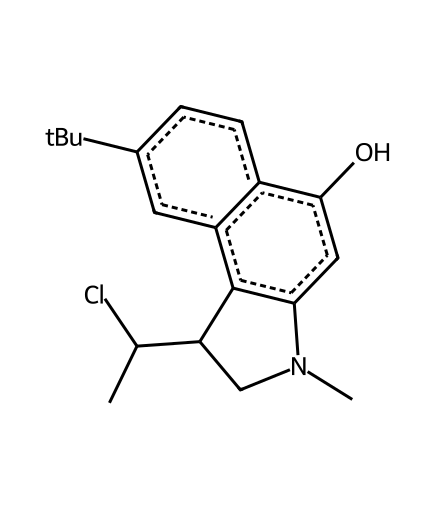 CC(Cl)C1CN(C)c2cc(O)c3ccc(C(C)(C)C)cc3c21